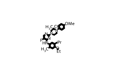 CCOc1cc(C)c(Nc2nc(N3CCN(c4ccc(OC)cc4)C(C)(C)C3)ncc2F)cc1C(C)C